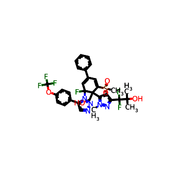 Cn1nc(C(F)(F)C(C)(C)O)cc1C1(CO)C(S(C)(=O)=O)=CC(c2ccccc2)=CC1(F)n1nncc1-c1ccc(OC(F)(F)F)cc1